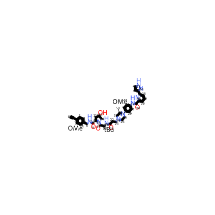 C#Cc1ccc(CNC(=O)[C@@H]2C[C@@H](O)CN2C(=O)[C@@H](NC(=O)CCN2CCN(c3ccc(NC(=O)c4cccc(-c5cc[nH]n5)n4)c(OC)c3)[C@@H](C)C2)C(C)(C)C)c(OC)c1